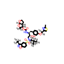 [2H]C([2H])([2H])c1noc2ccc(S(=O)(=O)N(C[C@@H](O)[C@H](Cc3ccc(OC([2H])([2H])c4csc(C)n4)cc3)NC(=O)O[C@]3([2H])[C@@H]4CCO[C@@H]4OC3([2H])[2H])C([2H])([2H])C([2H])(C([2H])([2H])[2H])C([2H])([2H])[2H])cc12